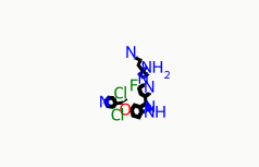 C[C@@H](Oc1ccc2[nH]nc(-c3cnc(N4CC(N)(CCC#N)C4)c(F)c3)c2c1)c1c(Cl)cncc1Cl